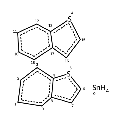 [SnH4].c1ccc2sccc2c1.c1ccc2sccc2c1